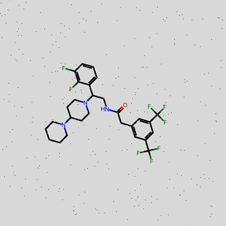 O=C(Cc1cc(C(F)(F)F)cc(C(F)(F)F)c1)NCC(c1cccc(F)c1F)N1CCC(N2CCCCC2)CC1